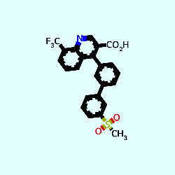 CS(=O)(=O)c1cccc(-c2cccc(-c3c(C(=O)O)cnc4c(C(F)(F)F)cccc34)c2)c1